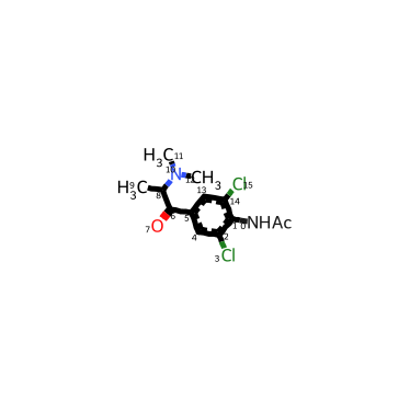 CC(=O)Nc1c(Cl)cc(C(=O)C(C)N(C)C)cc1Cl